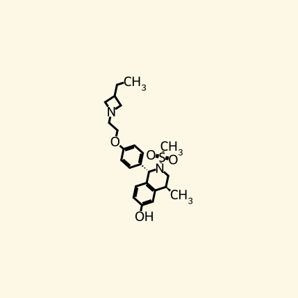 CCC1CN(CCOc2ccc([C@H]3c4ccc(O)cc4[C@H](C)CN3S(C)(=O)=O)cc2)C1